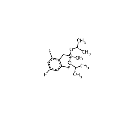 CC(C)O[Si](O)(Cc1c(F)cc(F)cc1F)OC(C)C